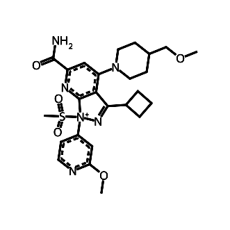 COCC1CCN(c2cc(C(N)=O)nc3c2C(C2CCC2)=N[N+]3(c2ccnc(OC)c2)S(C)(=O)=O)CC1